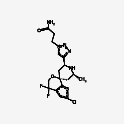 C[C@H]1C[C@@]2(C[C@@H](c3cn(CCC(N)=O)nn3)N1)OCC(F)(F)c1cc(Cl)sc12